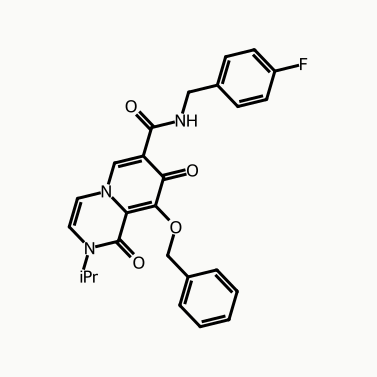 CC(C)n1ccn2cc(C(=O)NCc3ccc(F)cc3)c(=O)c(OCc3ccccc3)c2c1=O